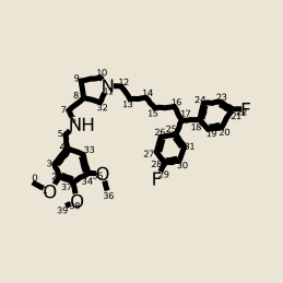 COc1cc(CNCC2CCN(CCCCCC(c3ccc(F)cc3)c3ccc(F)cc3)C2)cc(OC)c1OC